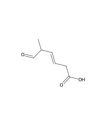 CC(C=O)/C=C/CC(=O)O